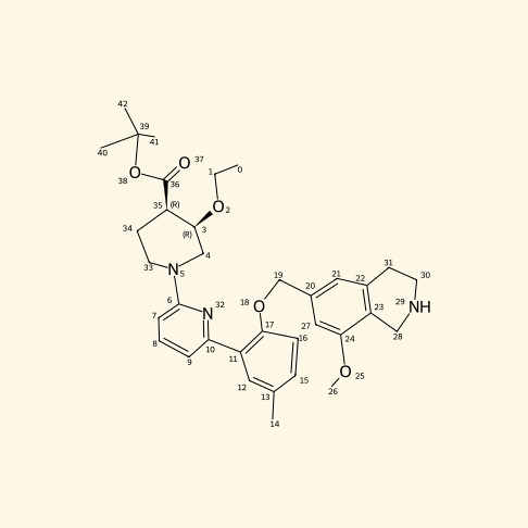 CCO[C@H]1CN(c2cccc(-c3cc(C)ccc3OCc3cc4c(c(OC)c3)CNCC4)n2)CC[C@H]1C(=O)OC(C)(C)C